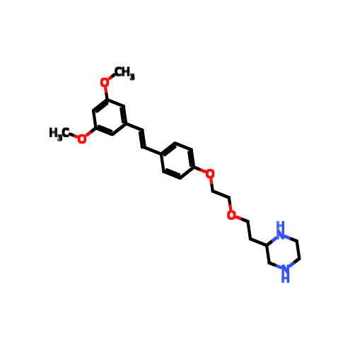 COc1cc(/C=C/c2ccc(OCCOCCC3CNCCN3)cc2)cc(OC)c1